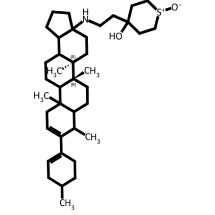 CC1CC=C(C2=CCC3(C)C(CC[C@]4(C)C3CCC3C5CCCC5(NCCC5(O)CC[S+]([O-])CC5)CC[C@]34C)C2C)CC1